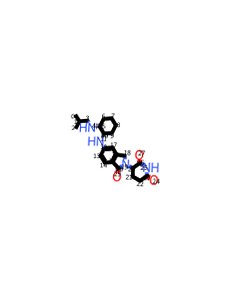 CC(C)CN[C@@H]1CCCC[C@H]1Nc1ccc2c(c1)CN(C1CCC(=O)NC1=O)C2=O